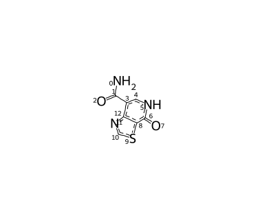 NC(=O)c1c[nH]c(=O)c2scnc12